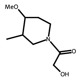 COC1CCN(C(=O)CO)CC1C